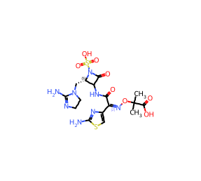 CC(C)(O/N=C(\C(=O)NC1C(=O)N(S(=O)(=O)O)[C@H]1CN1CCN=C1N)c1csc(N)n1)C(=O)O